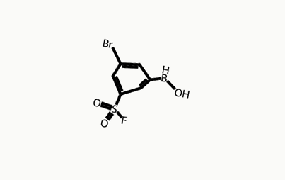 O=S(=O)(F)c1cc(Br)cc(BO)c1